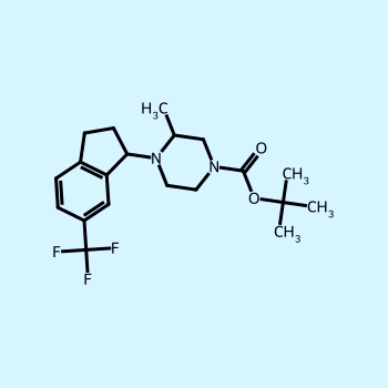 CC1CN(C(=O)OC(C)(C)C)CCN1C1CCc2ccc(C(F)(F)F)cc21